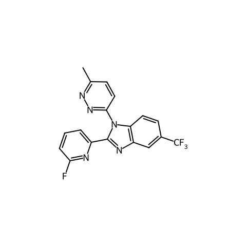 Cc1ccc(-n2c(-c3cccc(F)n3)nc3cc(C(F)(F)F)ccc32)nn1